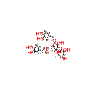 C[C@@H]1O[C@@H](O[C@@H]2[C@@H](O)[C@H](OCCc3ccc(O)c(O)c3)O[C@H](COC(=O)CCc3ccc(O)c(O)c3)[C@H]2O)[C@H](O)C[C@H]1O